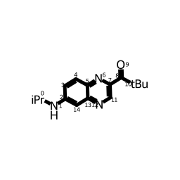 CC(C)Nc1ccc2nc(C(=O)C(C)(C)C)cnc2c1